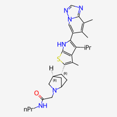 CCCNC(=O)CN1C[C@@H]2CC1C[C@H]2c1sc2[nH]c(-c3cn4ncnc4c(C)c3C)c(C(C)C)c2c1C